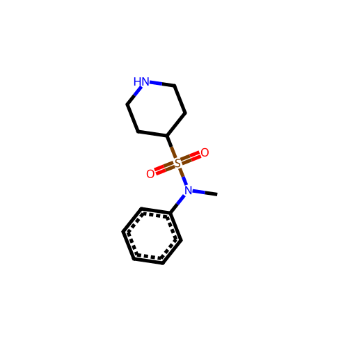 CN(c1ccccc1)S(=O)(=O)C1CCNCC1